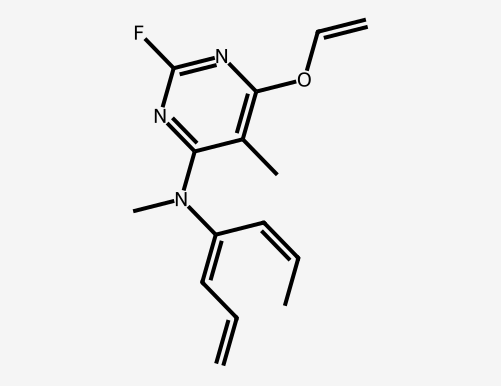 C=C/C=C(\C=C/C)N(C)c1nc(F)nc(OC=C)c1C